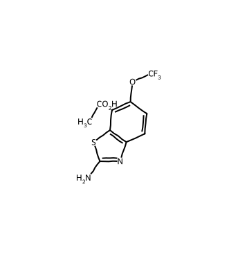 CC(=O)O.Nc1nc2ccc(OC(F)(F)F)cc2s1